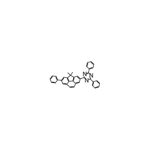 CC1(C)c2cc(-c3ccccc3)cc3ccc4cc(-c5nc(-c6ccccc6)nc(-c6ccccc6)n5)cc1c4c23